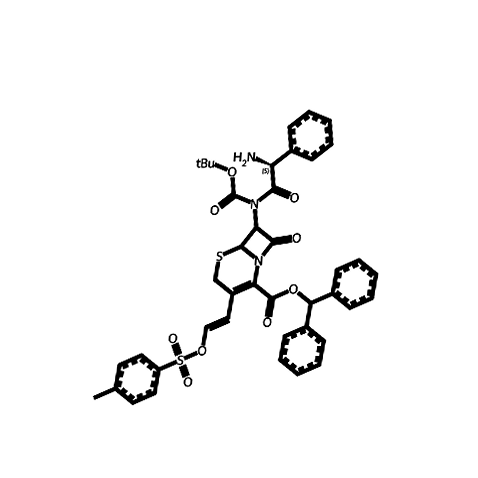 Cc1ccc(S(=O)(=O)OC=CC2=C(C(=O)OC(c3ccccc3)c3ccccc3)N3C(=O)C(N(C(=O)OC(C)(C)C)C(=O)[C@@H](N)c4ccccc4)C3SC2)cc1